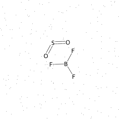 FB(F)F.O=S=O